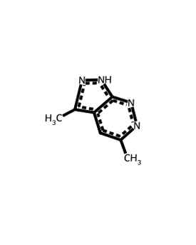 Cc1cc2c(C)n[nH]c2nn1